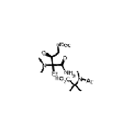 CC(=O)N(C)C(C)(C)C(=O)O.CCCCCCCCCCCC(=O)C(CC)(C(N)=O)N(C)C